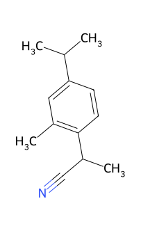 Cc1cc(C(C)C)ccc1C(C)C#N